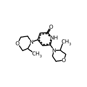 CC1COCCN1c1cc(N2CCOCC2C)[nH]c(=O)c1